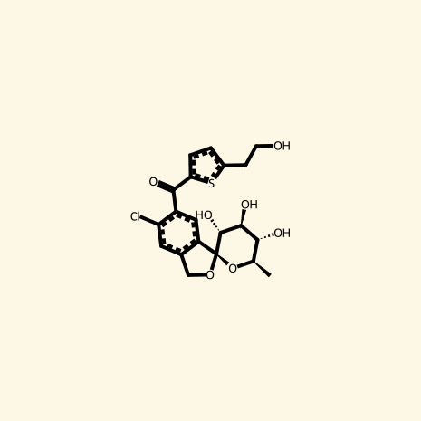 C[C@H]1O[C@]2(OCc3cc(Cl)c(C(=O)c4ccc(CCO)s4)cc32)[C@H](O)[C@@H](O)[C@@H]1O